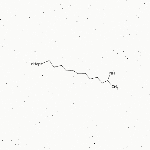 CCCCCCCCCCCCCCCCCC(C)[NH]